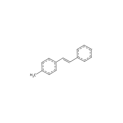 Cc1ccc(C=Cc2cc[c]cc2)cc1